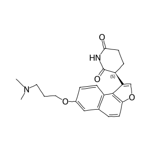 CN(C)CCCOc1ccc2c(ccc3occ([C@@H]4CCC(=O)NC4=O)c32)c1